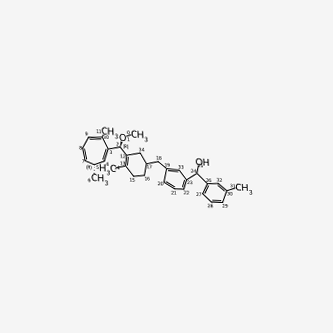 CO[C@H](C1=C[C@H](C)C=CC=C1C)C1=C(C)CCC(Cc2cccc(C(O)c3cccc(C)c3)c2)C1